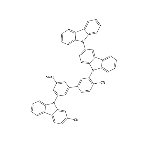 COc1cc(-c2ccc(C#N)c(-n3c4ccccc4c4cc(-n5c6ccccc6c6ccccc65)ccc43)c2)cc(-n2c3ccccc3c3ccc(C#N)cc32)c1